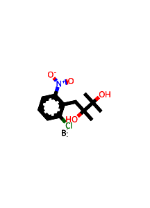 CC(C)(O)C(C)(O)Cc1c(Cl)cccc1[N+](=O)[O-].[B]